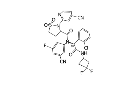 N#Cc1cc(F)cc(N(C(=O)C2CCS(=O)(=O)N2c2cc(C#N)ccn2)[C@H](C(=O)NC2CC(F)(F)C2)c2ccccc2Cl)c1